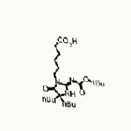 CCCCC1(CCCC)N/C(=N\C(=O)OC(C)(C)C)N(CCCCCC(=O)O)C1=O